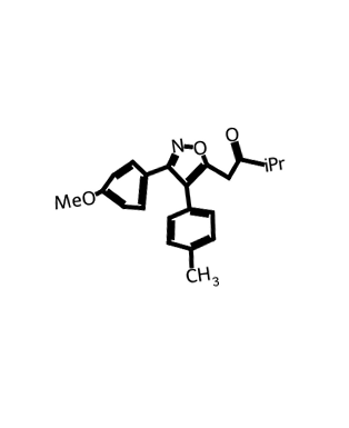 COc1ccc(-c2noc(CC(=O)C(C)C)c2-c2ccc(C)cc2)cc1